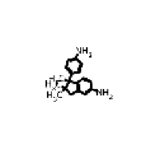 CC1(C)Cc2cc(N)ccc2C1(C)c1ccc(N)cc1